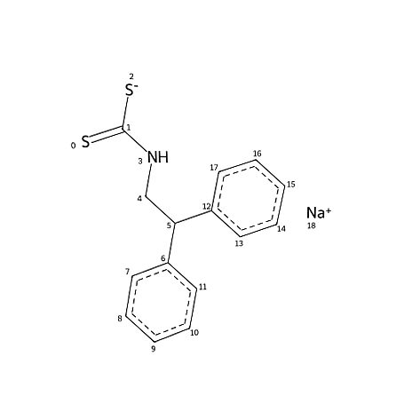 S=C([S-])NCC(c1ccccc1)c1ccccc1.[Na+]